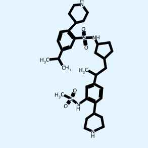 CC(C)c1ccc(C2CCNCC2)c(S(=O)(=O)NC2CCC(CC(C)c3ccc(C4CCNCC4)c(NS(C)(=O)=O)c3)C2)c1